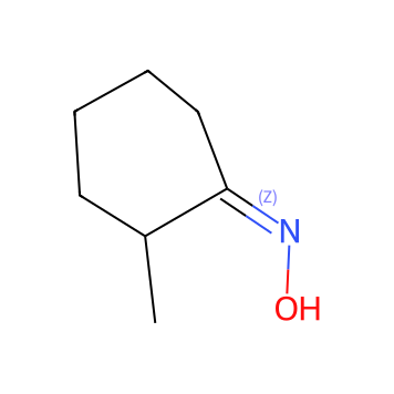 CC1CCCC/C1=N/O